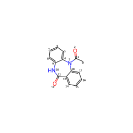 CC(=O)N1c2ccccc2NC(=O)c2ccccc21